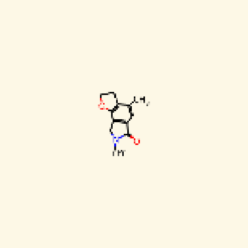 CCCN1Cc2c(cc(C)c3c2OCC3)C1=O